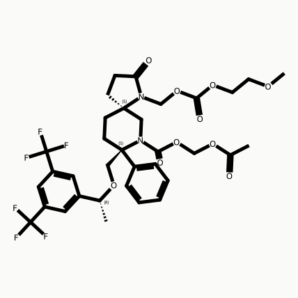 COCCOC(=O)OCN1C(=O)CC[C@]12CC[C@@](CO[C@H](C)c1cc(C(F)(F)F)cc(C(F)(F)F)c1)(c1ccccc1)N(C(=O)OCOC(C)=O)C2